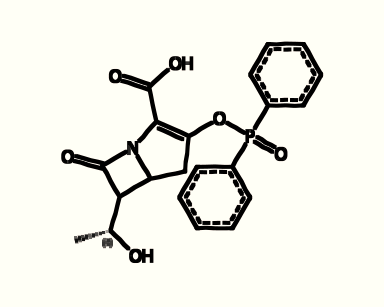 C[C@@H](O)C1C(=O)N2C(C(=O)O)=C(OP(=O)(c3ccccc3)c3ccccc3)CC12